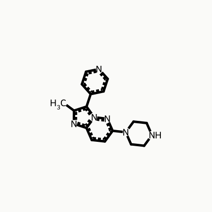 Cc1nc2ccc(N3CCNCC3)nn2c1-c1ccncc1